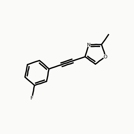 Cc1nc(C#Cc2cccc(F)c2)co1